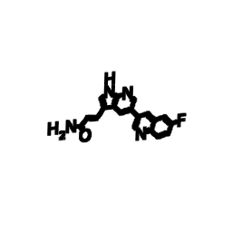 NC(=O)C=Cc1c[nH]c2ncc(-c3cnc4ccc(F)cc4c3)cc12